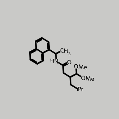 COC(OC)C(CC(=O)NC(C)c1cccc2ccccc12)CC(C)C